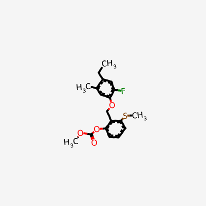 CCc1cc(F)c(OCc2c(OC(=O)OC)cccc2SC)cc1C